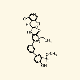 CCn1nc(-c2cccc(-c3ccc(O)c(C(=O)OC)c3)c2)cc(NC(=O)Nc2c(Cl)cncc2Cl)c1=O